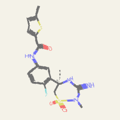 Cc1ccc(C(=O)Nc2ccc(F)c([C@]3(C)CS(=O)(=O)N(C)C(=N)N3)c2)s1